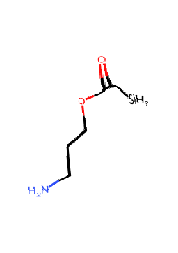 NCCCOC(=O)[SiH3]